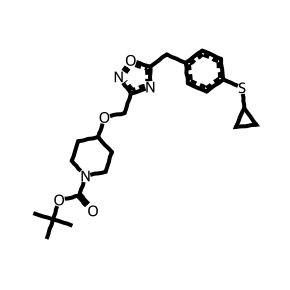 CC(C)(C)OC(=O)N1CCC(OCc2noc(Cc3ccc(SC4CC4)cc3)n2)CC1